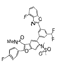 CNC(=O)c1c(-c2ccc(F)cc2)oc2cc(N(C)S(C)(=O)=O)c(-c3cc(-c4nc5c(F)cccc5o4)cc(C(F)F)c3)cc12